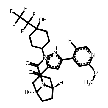 COc1cc(-c2cc(C(=O)N3[C@H]4CC[C@H]3CC(C(=O)NC3CCC(O)(C(F)(F)C(F)(F)F)CC3)C4)n[nH]2)c(F)cn1